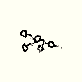 Nc1ccc(N(Cc2ccc(OCc3ccccc3)c(OCc3ccccc3)c2)n2cnnc2)cc1